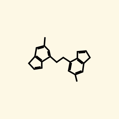 Cc1cc2c(c(CCc3cc(C)cc4c3C=CC4)c1)C=CC2